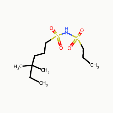 CCCS(=O)(=O)NS(=O)(=O)CCCC(C)(C)CC